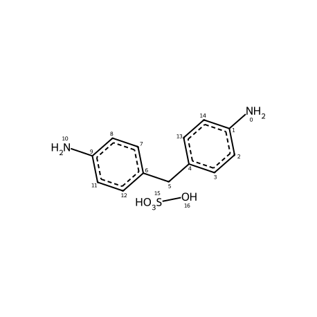 Nc1ccc(Cc2ccc(N)cc2)cc1.O=S(=O)(O)O